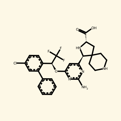 Nc1nc(O[C@@H](c2ccc(Cl)cc2-c2ccccc2)C(F)(F)F)cc([C@H]2N[C@H](C(=O)O)CC23CCNCC3)n1